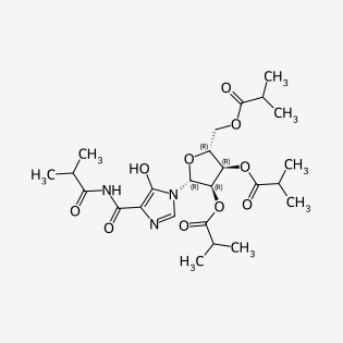 CC(C)C(=O)NC(=O)c1ncn([C@@H]2O[C@H](COC(=O)C(C)C)[C@@H](OC(=O)C(C)C)[C@H]2OC(=O)C(C)C)c1O